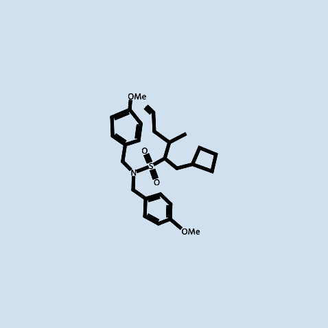 C=CCC(C)C(CC1CCC1)S(=O)(=O)N(Cc1ccc(OC)cc1)Cc1ccc(OC)cc1